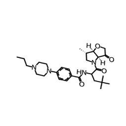 CCCN1CCN(c2ccc(C(=O)NC(CC(C)(C)C)C(=O)N3C[C@H](C)[C@H]4OCC(=O)[C@H]43)cc2)CC1